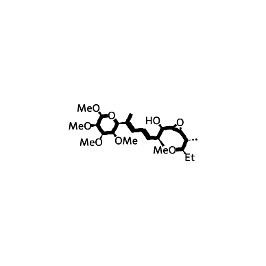 CC[C@H](OC)[C@@H](C)[C@H]1O[C@@H]1[C@H](O)[C@@H](C)/C=C/C=C(\C)[C@@H]1O[C@H](OC)[C@H](OC)[C@@H](OC)[C@@H]1OC